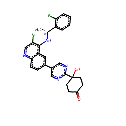 C[C@@H](Nc1c(Cl)cnc2ccc(-c3cnc(C4(O)CCC(=O)CC4)nc3)cc12)c1ccccc1F